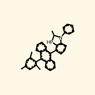 Cc1cc(C)c(-c2c3ccccc3c(-c3cccc4c3PC(C)N4c3ccccc3)c3ccccc23)c(C)c1